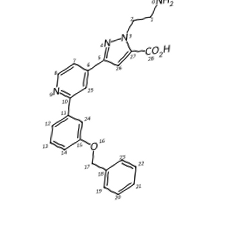 NCCn1nc(-c2ccnc(-c3cccc(OCc4ccccc4)c3)c2)cc1C(=O)O